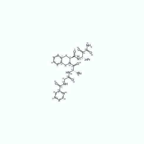 CCC[C@H](NC(=O)[C@@H]1Cc2ccccc2CN1C(=O)[C@@H](NC(=O)CNC(=O)c1cnccn1)C(C)(C)C)C(=O)C(N)=O